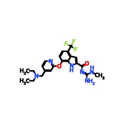 CCN(CC)Cc1ccnc(Oc2ccc(C(F)(F)F)c3cc(C(=O)N=C(N)NC)[nH]c23)c1